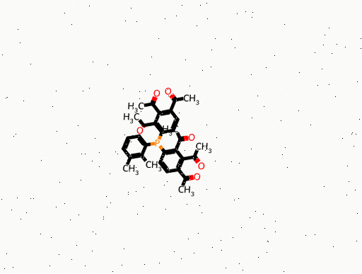 CC(=O)c1ccc(P(c2cccc(C)c2C)c2ccc(C(C)=O)c(C(C)=O)c2C(C)=O)c(C(C)=O)c1C(C)=O